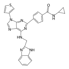 O=C(NC1CC1)c1ccc(-c2nc(NCc3nc4ccccc4[nH]3)c3ncn(-c4ccsc4)c3n2)cc1